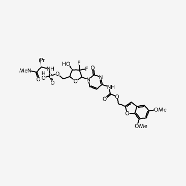 CNC(=O)[C@@H](NP(=O)(O)OCC1OC(n2ccc(NC(=O)OCc3cc4cc(OC)cc(OC)c4o3)nc2=O)C(F)(F)[C@@H]1O)C(C)C